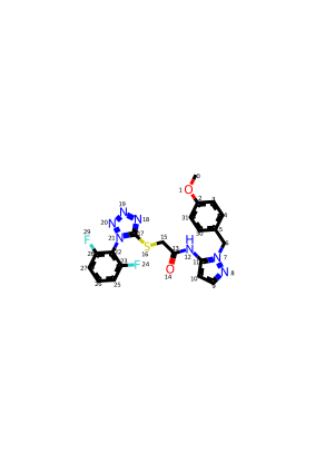 COc1ccc(Cn2nccc2NC(=O)CSc2nnnn2-c2c(F)cccc2F)cc1